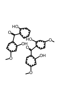 COc1ccc(C(=O)c2ccc(OC)cc2O)c(O)c1.COc1ccc(C(=O)c2ccccc2O)c(O)c1